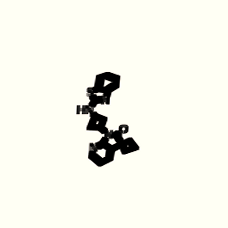 O=C1N(C2CC(Nc3nc4ccccc4s3)C2)c2ncccc2C12CCC2